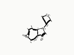 [c]1cn(C2COC2)c2ccncc12